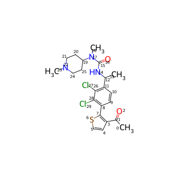 CC(=O)c1ccsc1-c1ccc(C(C)NC(=O)N(C)C2CCN(C)CC2)c(Cl)c1Cl